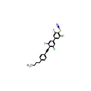 CCCCc1ccc(C#Cc2c(F)cc(-c3cc(F)c(SC#N)c(F)c3)cc2F)cc1